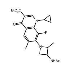 CCOC(=O)c1cn(C2CC2)c2c(F)c(N3CC(NC(C)=O)C3C)c(F)cc2c1=O